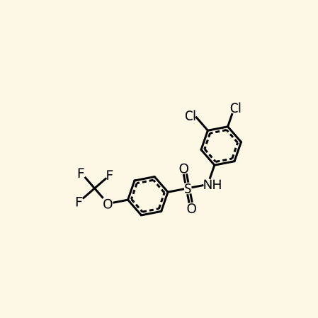 O=S(=O)(Nc1ccc(Cl)c(Cl)c1)c1ccc(OC(F)(F)F)cc1